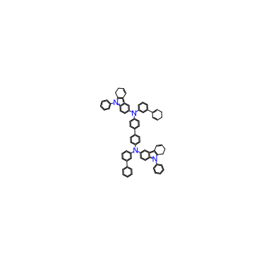 C1=CC(c2cccc(N(c3ccc(-c4ccc(N(c5cccc(-c6ccccc6)c5)c5ccc6c(c5)c5c(n6-c6ccccc6)CCC=C5)cc4)cc3)c3ccc4c(c3)c3c(n4-c4ccccc4)CCC=C3)c2)=CCC1